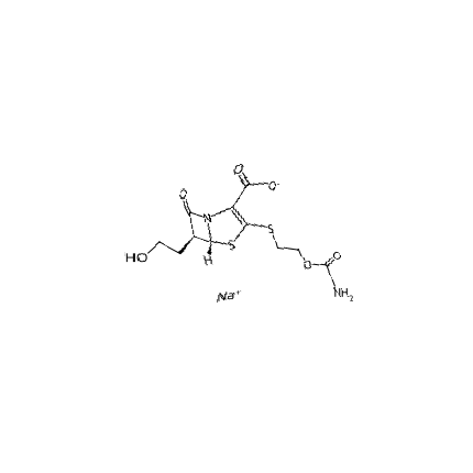 NC(=O)OCCSC1=C(C(=O)[O-])N2C(=O)[C@H](CCO)[C@H]2S1.[Na+]